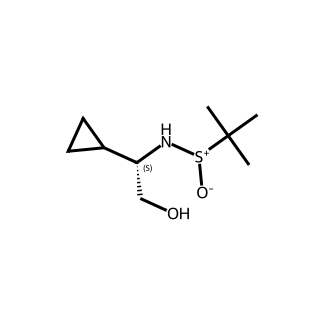 CC(C)(C)[S+]([O-])N[C@H](CO)C1CC1